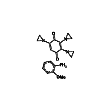 COc1ccccc1P.O=C1C=C(N2CC2)C(=O)C(N2CC2)=C1N1CC1